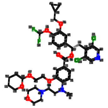 CC(=O)N(CCN1CCOCC1)c1ccc(C(=O)O[C@@H](Cc2c(Cl)cncc2Cl)c2ccc(OC(F)F)c(OCC3CC3)c2)cc1OCCOC1CCCCO1